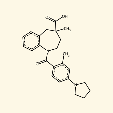 Cc1cc(N2CCCC2)ccc1C(=O)N1CCC(C)(C(=O)O)Cc2ccccc21